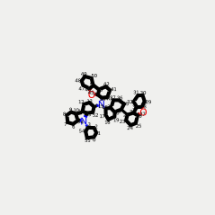 c1ccc(-n2c3ccccc3c3ccc(N(c4cccc5c(-c6cccc7oc8ccccc8c67)cccc45)c4cccc5c4oc4ccccc45)cc32)cc1